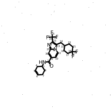 O=C(NC1CC=CCC1)c1ccn2c(CC3CCC(F)(F)CC3)c(C(F)(F)F)nc2c1